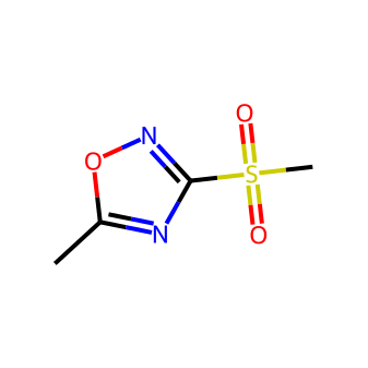 Cc1nc(S(C)(=O)=O)no1